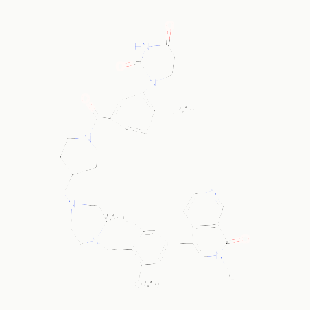 COc1ccc(C(=O)N2CCC(CN3CCN(Cc4c(OC)cc(-c5cn(C)c(=O)c6cnccc56)cc4OC)CC3)CC2)cc1N1CCC(=O)NC1=O